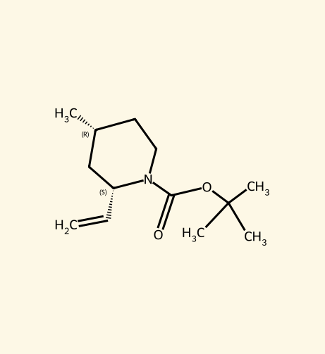 C=C[C@@H]1C[C@H](C)CCN1C(=O)OC(C)(C)C